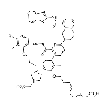 CCOC(=O)CN1CC[C@@H](CCCOc2cccc(-c3ccc(N4CCc5cccc(C(=O)Nc6nc7ccccc7s6)c5C4)nc3C(=O)OC(C)(C)C)c2C)C1.CCOC(=O)CN1CC[C@@H](CCCOc2cccc(Br)c2C)C1